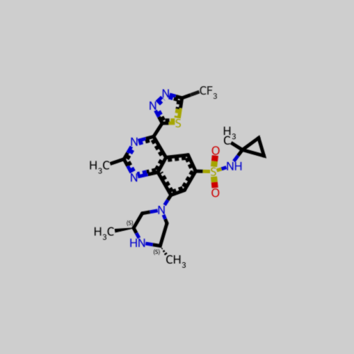 Cc1nc(-c2nnc(C(F)(F)F)s2)c2cc(S(=O)(=O)NC3(C)CC3)cc(N3C[C@H](C)N[C@@H](C)C3)c2n1